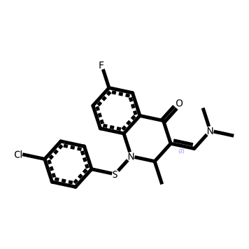 CC1/C(=C/N(C)C)C(=O)c2cc(F)ccc2N1Sc1ccc(Cl)cc1